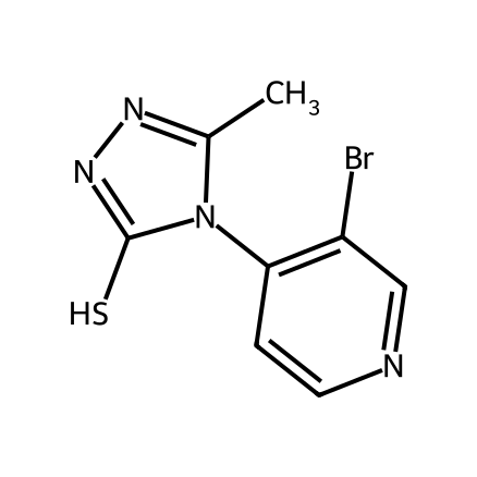 Cc1nnc(S)n1-c1ccncc1Br